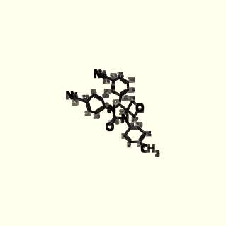 Cc1ccc(N2C(=O)N(c3ccc(C#N)cc3)[C@@H](c3cccc(C#N)c3)C23COC3)cc1